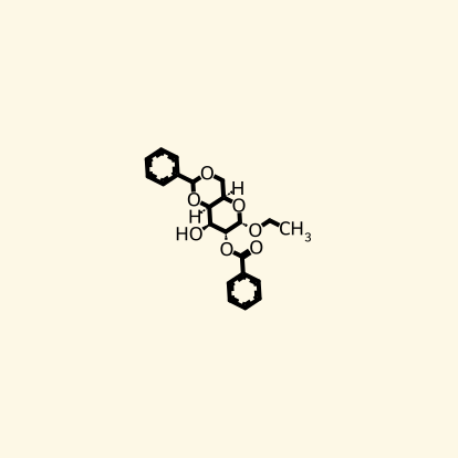 CCO[C@H]1O[C@@H]2COC(c3ccccc3)O[C@@H]2[C@H](O)[C@H]1OC(=O)c1ccccc1